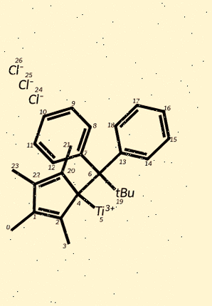 CC1=C(C)[C]([Ti+3])(C(c2ccccc2)(c2ccccc2)C(C)(C)C)C(C)=C1C.[Cl-].[Cl-].[Cl-]